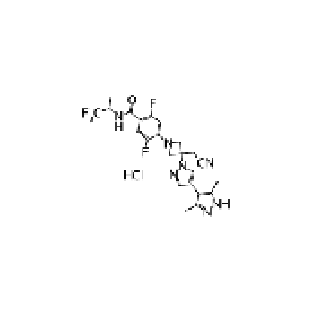 Cc1n[nH]c(C)c1-c1cnn(C2(CC#N)CN(c3cc(F)c(C(=O)NC(C)C(F)(F)F)cc3F)C2)c1.Cl